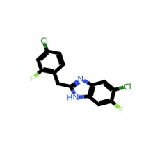 Fc1cc2[nH]c(Cc3ccc(Cl)cc3F)nc2cc1Cl